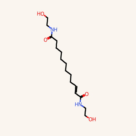 O=C(/C=C/CCCCCCCCC(=O)NCCO)NCCO